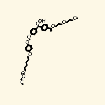 C=C=COOCCCCCCOc1ccc(OCOc2ccc(C(OO)c3ccc(C(=C)OCCCOCCCOC)cc3)cc2)cc1